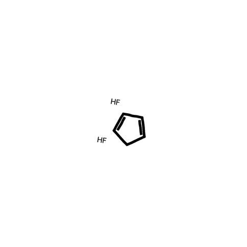 C1=CCC=C1.F.F